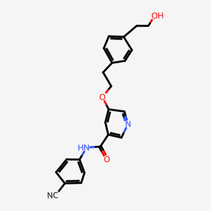 N#Cc1ccc(NC(=O)c2cncc(OCCc3ccc(CCO)cc3)c2)cc1